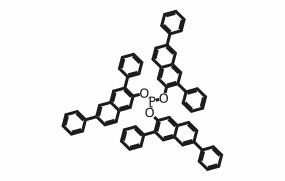 c1ccc(-c2ccc3cc(OP(Oc4cc5ccc(-c6ccccc6)cc5cc4-c4ccccc4)Oc4cc5ccc(-c6ccccc6)cc5cc4-c4ccccc4)c(-c4ccccc4)cc3c2)cc1